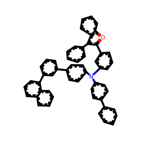 c1ccc(-c2ccc(N(c3ccc(-c4cccc(-c5cccc6ccccc56)c4)cc3)c3cccc(-c4oc5ccccc5c4-c4ccccc4)c3)cc2)cc1